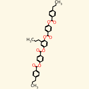 CCCc1ccc(C(=O)Oc2ccc(C(=O)Oc3ccc(OC(=O)c4ccc(OC(=O)c5ccc(CCC)cc5)cc4)c(CCC)c3)cc2)cc1